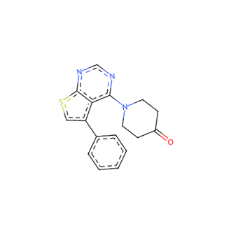 O=C1CCN(c2ncnc3scc(-c4ccccc4)c23)CC1